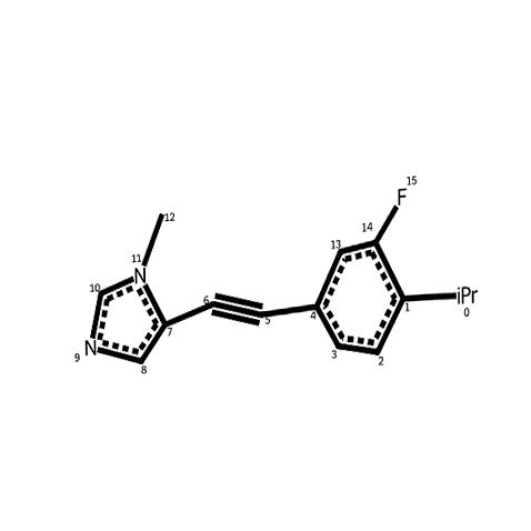 CC(C)c1ccc(C#Cc2cncn2C)cc1F